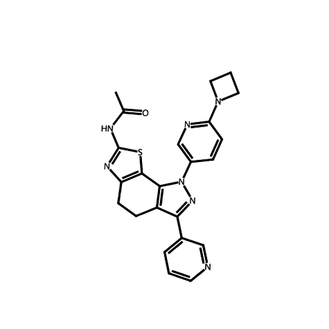 CC(=O)Nc1nc2c(s1)-c1c(c(-c3cccnc3)nn1-c1ccc(N3CCC3)nc1)CC2